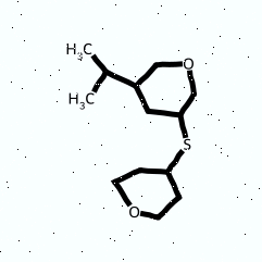 CC(C)C1COCC(SC2CCOCC2)C1